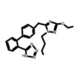 CCCCn1nc(OCC)nc1Cc1ccc(-c2ccccc2-c2nnn[nH]2)cc1